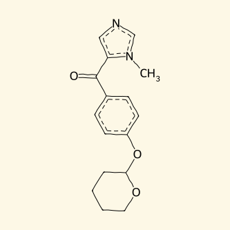 Cn1cncc1C(=O)c1ccc(OC2CCCCO2)cc1